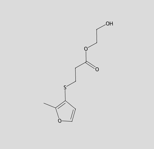 Cc1occc1SCCC(=O)OCCO